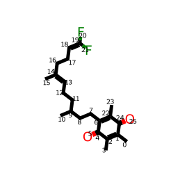 CC1=C(C)C(=O)C(CCC(C)CC/C=C(\C)CCC=C(F)F)=C(C)C1=O